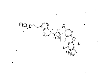 CCOC(=O)CCc1cccc2c1OCC[C@]2(C)c1nc(-c2cc(Oc3c(F)c(F)c4[nH]ccc4c3F)ccc2F)n(C)n1